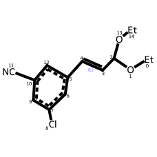 CCOC(/C=C/c1cc(Cl)cc(C#N)c1)OCC